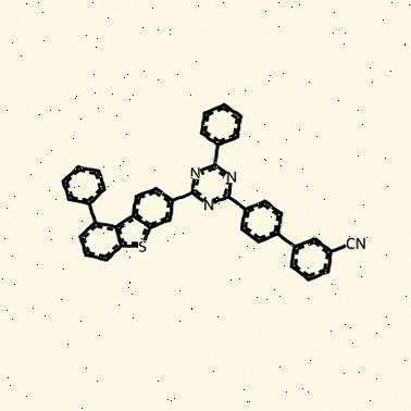 N#Cc1cccc(-c2ccc(-c3nc(-c4ccccc4)nc(-c4ccc5c(c4)sc4cccc(-c6ccccc6)c45)n3)cc2)c1